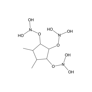 CC1C(C)C(ON(O)O)C(ON(O)O)C1ON(O)O